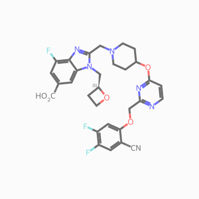 N#Cc1cc(F)c(F)cc1OCc1nccc(OC2CCN(Cc3nc4c(F)cc(C(=O)O)cc4n3C[C@@H]3CCO3)CC2)n1